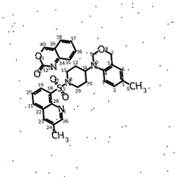 Cc1ccc2c(c1)COCN2C1CCN(S(=O)(=O)c2cccc3cc(C)cnc23)CC1.O=c1nc2ccccc2co1